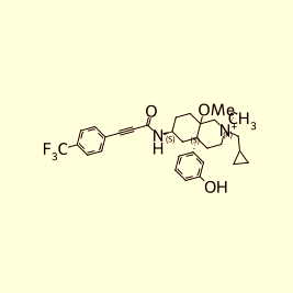 COC12CC[C@H](NC(=O)C#Cc3ccc(C(F)(F)F)cc3)C[C@]1(c1cccc(O)c1)CC[N@+](C)(CC1CC1)C2